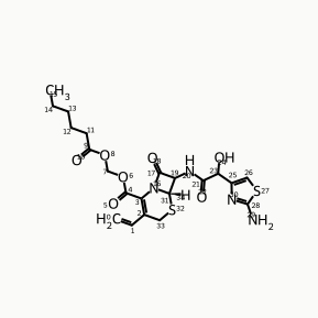 C=CC1=C(C(=O)OCOC(=O)CCCCC)N2C(=O)C(NC(=O)C(O)c3csc(N)n3)[C@@H]2SC1